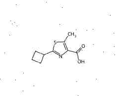 Cc1sc(C2CCC2)nc1C(=O)O